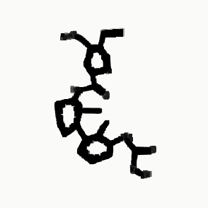 C=Cc1cnc(C(=O)Nc2cccc(-c3cccc(NC(=O)OC(C)(C)C)c3C)c2C)cc1OC